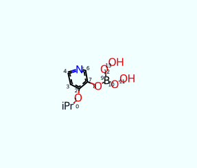 CC(C)Oc1ccncc1OB(OO)OO